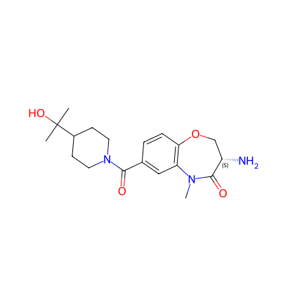 CN1C(=O)[C@@H](N)COc2ccc(C(=O)N3CCC(C(C)(C)O)CC3)cc21